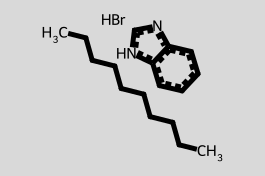 Br.CCCCCCCCCC.c1ccc2[nH]cnc2c1